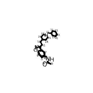 CC(=O)Nc1ccc2onc(CCC3CCN(Cc4ccccc4)CC3)c2c1